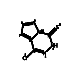 S=c1[nH]nc(Cl)c2cccn12